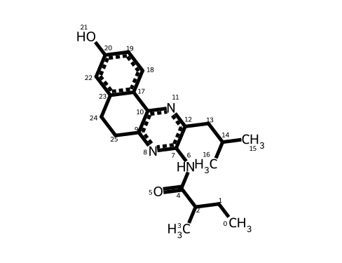 CCC(C)C(=O)Nc1nc2c(nc1CC(C)C)-c1ccc(O)cc1CC2